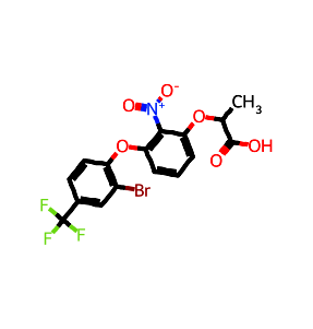 CC(Oc1cccc(Oc2ccc(C(F)(F)F)cc2Br)c1[N+](=O)[O-])C(=O)O